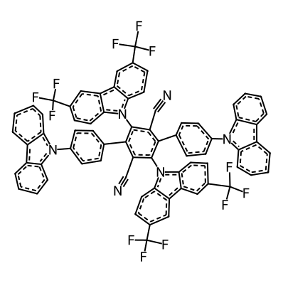 N#Cc1c(-c2ccc(-n3c4ccccc4c4ccccc43)cc2)c(-n2c3ccc(C(F)(F)F)cc3c3cc(C(F)(F)F)ccc32)c(C#N)c(-c2ccc(-n3c4ccccc4c4ccccc43)cc2)c1-n1c2ccc(C(F)(F)F)cc2c2cc(C(F)(F)F)ccc21